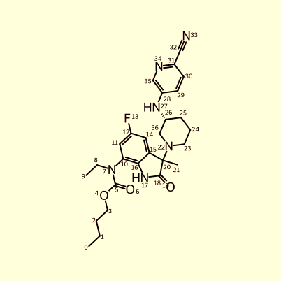 CCCCOC(=O)N(CC)c1cc(F)cc2c1NC(=O)C2(C)N1CCC[C@@H](Nc2ccc(C#N)nc2)C1